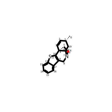 C[C@H]1C=C[C@]23CCN(Cc4c2sc2ccccc42)[C@H]3C1